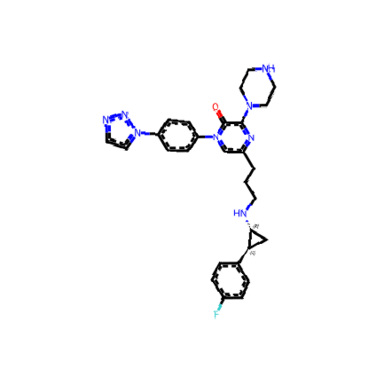 O=c1c(N2CCNCC2)nc(CCCN[C@@H]2C[C@H]2c2ccc(F)cc2)cn1-c1ccc(-n2ccnn2)cc1